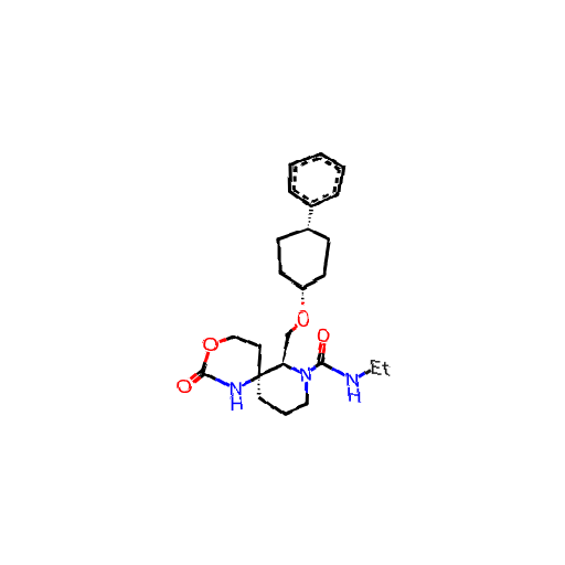 CCNC(=O)N1CCC[C@]2(CCOC(=O)N2)[C@H]1CO[C@H]1CC[C@@H](c2ccccc2)CC1